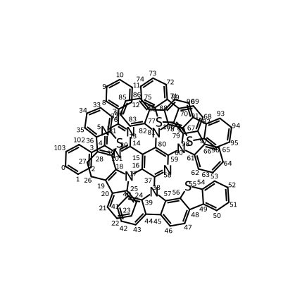 c1ccc(-c2nc(-c3ccccc3)nc(-c3c(-n4c5c(c6ccccc64)CCc4c-5sc5ccccc45)c(-n4c5ccccc5c5ccc6c7ccccc7sc6c54)nc(-n4c5ccccc5c5ccc6c7ccccc7sc6c54)c3-n3c4ccccc4c4ccc5c6ccccc6sc5c43)n2)cc1